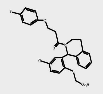 O=C(O)COc1ccc(Cl)cc1C1c2ccccc2CCN1C(=O)CCOc1ccc(F)cc1